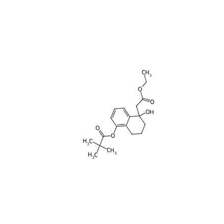 CCOC(=O)CC1(O)CCCc2c(OC(=O)C(C)(C)C)cccc21